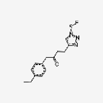 CCc1ccc(CC(=O)CCc2cn(SF)nn2)cc1